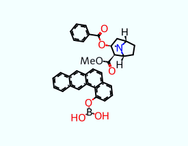 COC(=O)[C@H]1[C@@H](OC(=O)c2ccccc2)C[C@@H]2CC[C@H]1N2C.OB(O)Oc1cccc2ccc3cc4ccccc4cc3c12